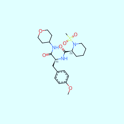 COc1ccc(C[C@H](NC(=O)[C@@H]2CCCCN2S(C)(=O)=O)C(=O)NC2CCOCC2)cc1